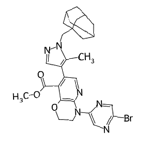 COC(=O)c1c(-c2cnn(CC34CC5CC(CC(C5)C3)C4)c2C)cnc2c1OCCN2c1cnc(Br)cn1